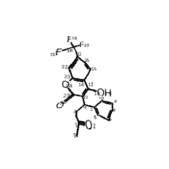 CC(=O)CC(c1ccccc1)c1c(O)c2ccc(C(F)(F)F)cc2oc1=O